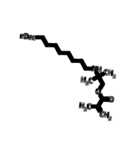 C=C(C)C(=O)OCC(C)(C)NCCCCCCCCCCCCCCCCCC